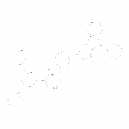 c1ccc(-c2nc(-c3ccccc3)nc(-c3cccc4c3oc3ccc(-c5ccc6c(c5)c5ccccc5n6-c5ccccc5)cc34)n2)cc1